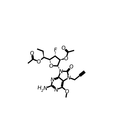 C#CCn1c(=O)n([C@@H]2O[C@H]([C@H](CC)OC(C)=O)[C@H](F)[C@H]2OC(C)=O)c2nc(N)nc(OC)c21